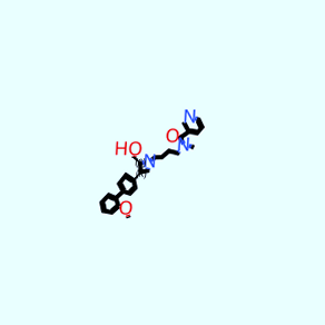 COc1ccccc1-c1ccc([C@@H]2CN(CCCCN(C)C(=O)c3cccnc3)[C@@H]2CO)cc1